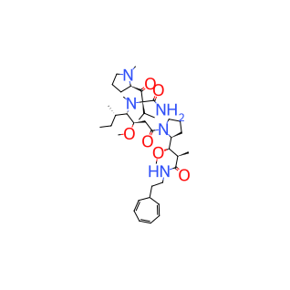 CC[C@H](C)[C@@H]([C@@H](CC(=O)N1CCC[C@H]1[C@H](OC)[C@@H](C)C(=O)NCCC1C=CC=CC=C1)OC)N(C)[C@@](C(N)=O)(C(=O)[C@H]1CCCN1C)C(C)C